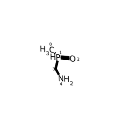 C[PH](=O)CN